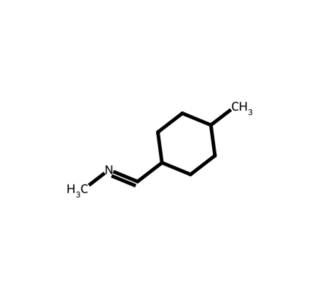 CN=CC1CCC(C)CC1